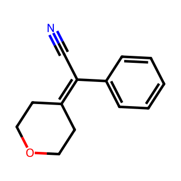 N#CC(=C1CCOCC1)c1ccccc1